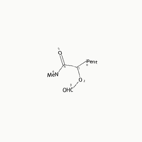 CCCC(C)C(OC=O)C(=O)NC